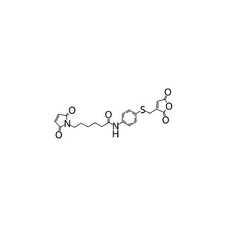 O=C(CCCCCN1C(=O)C=CC1=O)Nc1ccc(SCC2=CC(=O)OC2=O)cc1